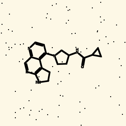 O=C(NC1CCN(c2ccnc3cnc4c(c23)CCN4)C1)C1CC1